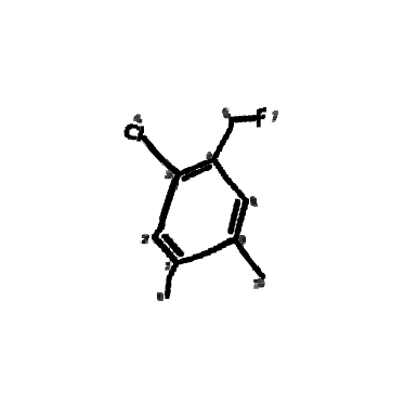 Cc1cc(Cl)c(CF)cc1C